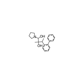 CC(c1ccccc1-c1ccccc1)C(C)(O)C(O)N1CCCC1